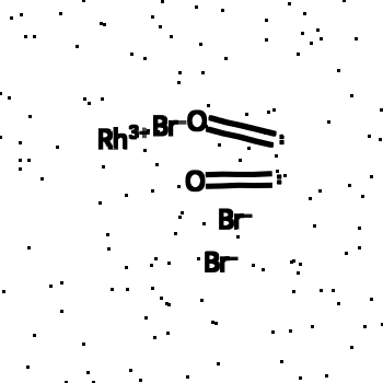 [Br-].[Br-].[Br-].[C]=O.[C]=O.[Rh+3]